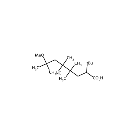 COC(C)(C)CC(C)(C#N)C(C)(C)CC(C(=O)O)C(C)(C)C